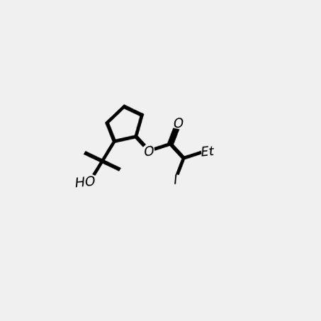 CCC(I)C(=O)OC1CCCC1C(C)(C)O